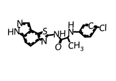 CC(Nc1ccc(Cl)cc1)C(=O)Nc1nc2ccc3[nH]ncc3c2s1